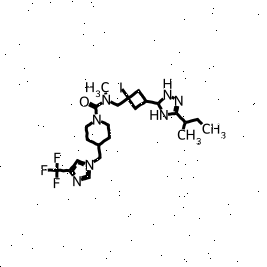 CCC(C)C1=NNC(C2CC(I)(CN(C)C(=O)N3CCC(Cn4cnc(C(F)(F)F)c4)CC3)C2)N1